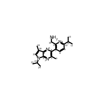 Cc1nc2c(nc1-c1ccc(C(C)C)nc1CN)c(C)cn2C(C)C